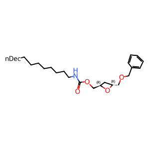 CCCCCCCCCCCCCCCCCCNC(=O)OC[C@H]1C[C@H](COCc2ccccc2)O1